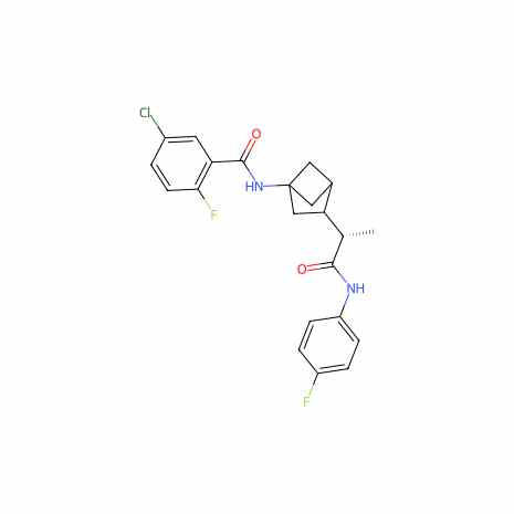 C[C@H](C(=O)Nc1ccc(F)cc1)C1CC2(NC(=O)c3cc(Cl)ccc3F)CC1C2